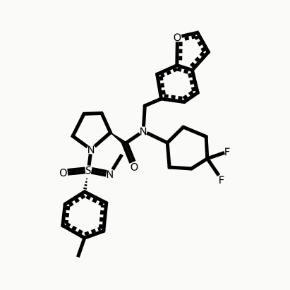 CN=[S@](=O)(c1ccc(C)cc1)N1CCC[C@H]1C(=O)N(Cc1ccc2ccoc2c1)C1CCC(F)(F)CC1